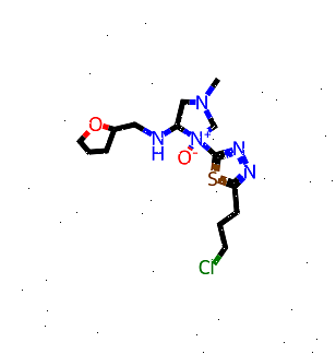 CN1CC(NCC2CCCO2)[N+]([O-])(c2nnc(CCCCl)s2)C1